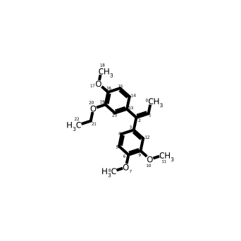 CC=C(c1ccc(OC)c(OC)c1)c1ccc(OC)c(OCC)c1